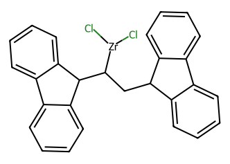 [Cl][Zr]([Cl])[CH](CC1c2ccccc2-c2ccccc21)C1c2ccccc2-c2ccccc21